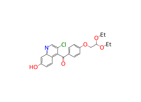 CCOC(COc1ccc(C(=O)c2c(Cl)cnc3cc(O)ccc23)cc1)OCC